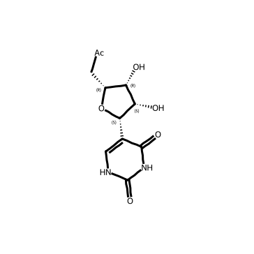 CC(=O)C[C@H]1O[C@@H](c2c[nH]c(=O)[nH]c2=O)[C@@H](O)[C@H]1O